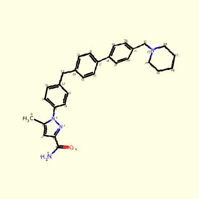 Cc1cc(C(N)=O)nn1-c1ccc(Cc2ccc(-c3ccc(CN4CCCCC4)cc3)cc2)cc1